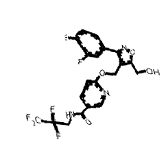 O=C(NCC(F)(F)C(F)(F)F)c1ccc(OCc2c(-c3ccc(F)c(F)c3)noc2CO)nc1